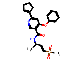 CC(/C=C/S(C)(=O)=O)NC(=O)c1cnc(C2=CCCC2)cc1Oc1ccccc1